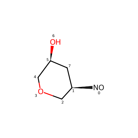 O=N[C@H]1COC[C@@H](O)C1